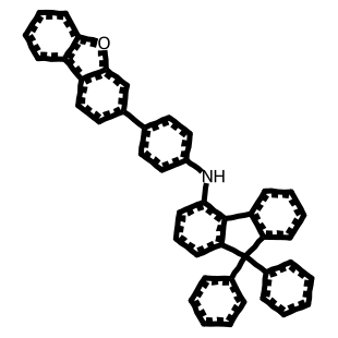 c1ccc(C2(c3ccccc3)c3ccccc3-c3c(Nc4ccc(-c5ccc6c(c5)oc5ccccc56)cc4)cccc32)cc1